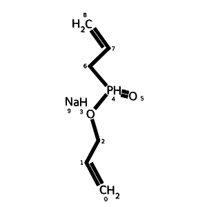 C=CCO[PH](=O)CC=C.[NaH]